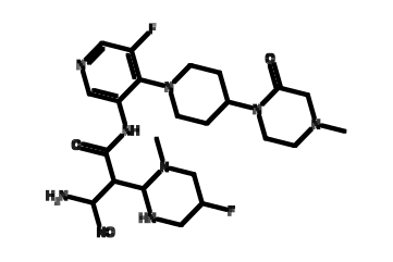 CN1CCN(C2CCN(c3c(F)cncc3NC(=O)C(C(N)N=O)C3NCC(F)CN3C)CC2)C(=O)C1